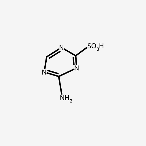 Nc1ncnc(S(=O)(=O)O)n1